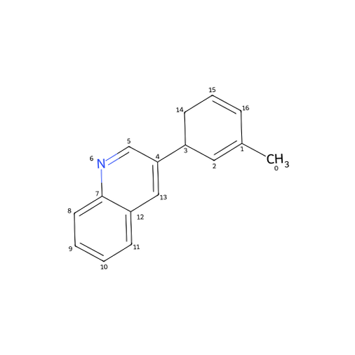 CC1=CC(c2cnc3ccccc3c2)CC=C1